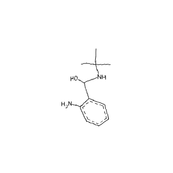 CC(C)(C)NC(O)c1ccccc1N